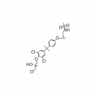 C[C@@H](CNS(C)(=O)=O)COc1ccc(C(C)(C)c2cc(Cl)c(OC[C@@H](O)CCl)c(Cl)c2)cc1